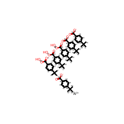 CC(C)(C)c1ccc(C(=O)OO)cc1.CC(C)(C)c1ccc(C(=O)OO)cc1.CC(C)(C)c1ccc(C(=O)OO)cc1.CC(C)(C)c1ccc(C(=O)[O-])cc1.CC(C)(C)c1ccc(C(=O)[O-])cc1.CC(C)(C)c1ccc(C(=O)[O-])cc1.[Al+3]